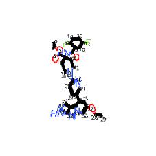 CCOC(=O)C1(NC(=O)c2cc(F)ccc2F)CCN(c2ccc(-c3cc(OCC)cn4nc5[nH]ncc5c34)cn2)CC1